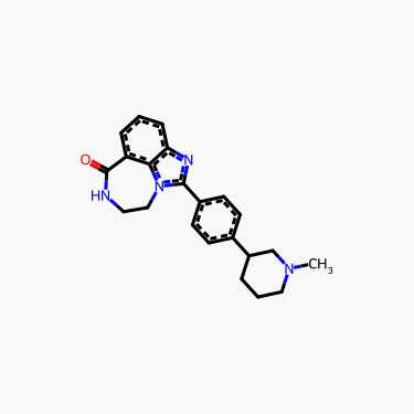 CN1CCCC(c2ccc(-c3nc4cccc5c4n3CCNC5=O)cc2)C1